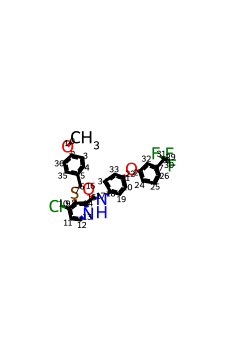 COc1ccc(CSc2c(Cl)ccnc2C(=O)Nc2ccc(Oc3cccc(C(F)(F)F)c3)cc2)cc1